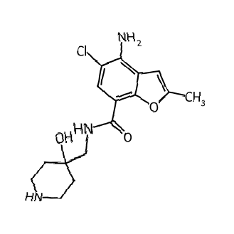 Cc1cc2c(N)c(Cl)cc(C(=O)NCC3(O)CCNCC3)c2o1